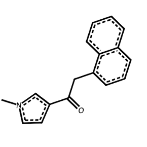 Cn1ccc(C(=O)Cc2cccc3ccccc23)c1